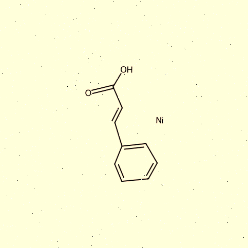 O=C(O)C=Cc1ccccc1.[Ni]